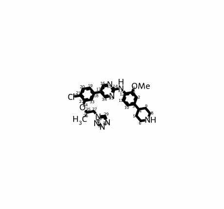 COc1cc(C2CCNCC2)ccc1Nc1ncc(-c2ccc(Cl)c(O[C@@H](C)Cn3cnnn3)c2)cn1